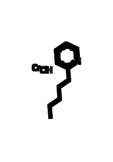 CCCCCc1ccccn1.Cl.[Cr]